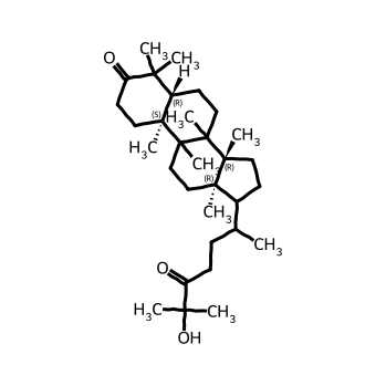 CC(CCC(=O)C(C)(C)O)C1CC[C@@]2(C)C3(C)CC[C@H]4C(C)(C)C(=O)CC[C@]4(C)C3(C)CC[C@]12C